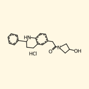 Cl.O=C(Cc1ccc2c(c1)CCC(c1ccccc1)N2)N1CC(O)C1